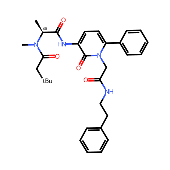 C[C@@H](C(=O)Nc1ccc(-c2ccccc2)n(CC(=O)NCCc2ccccc2)c1=O)N(C)C(=O)CC(C)(C)C